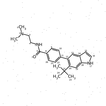 CN(C)CCNC(=O)c1ccc(-c2cc3cc[nH]c3cc2C(C)(C)C)cc1